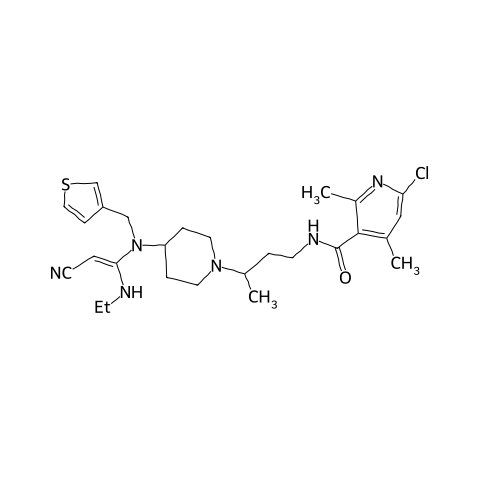 CCNC(=CC#N)N(Cc1ccsc1)C1CCN(C(C)CCNC(=O)c2c(C)cc(Cl)nc2C)CC1